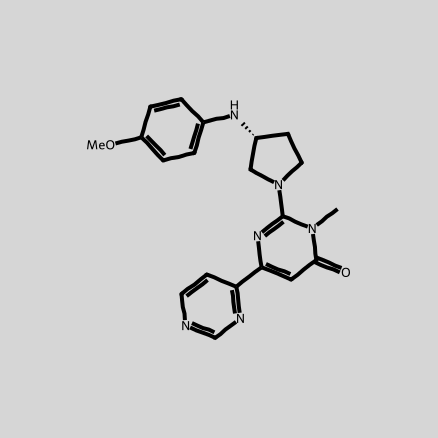 COc1ccc(N[C@@H]2CCN(c3nc(-c4ccncn4)cc(=O)n3C)C2)cc1